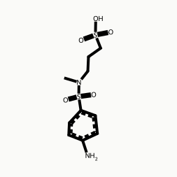 CN(CCCS(=O)(=O)O)S(=O)(=O)c1ccc(N)cc1